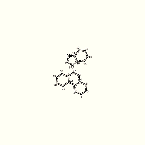 c1ccc2c(c1)cc(-n1cnc3ccccc31)c1ccccc12